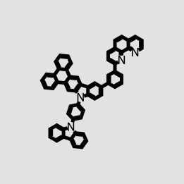 c1cc(-c2ccc3c(c2)c2cc4c5ccccc5c5ccccc5c4cc2n3-c2ccc(-n3c4ccccc4c4ccccc43)cc2)cc(-c2ccc3ccc4cccnc4c3n2)c1